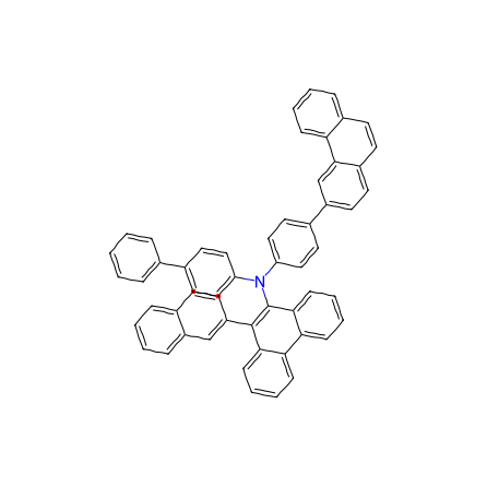 c1ccc(-c2ccc(N(c3ccc(-c4ccc5ccc6ccccc6c5c4)cc3)c3c(-c4ccc5ccccc5c4)c4ccccc4c4ccccc34)cc2)cc1